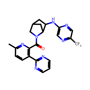 Cc1ccc(-c2ncccn2)c(C(=O)N2CC3CC(Nc4cnc(C(F)(F)F)cn4)C2C3)n1